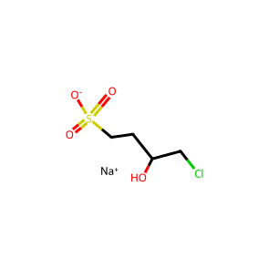 O=S(=O)([O-])CCC(O)CCl.[Na+]